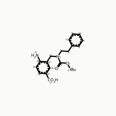 CC(C)(C)OC(=O)N(CCc1ccccc1)Cc1cc(C(=O)O)ccc1N